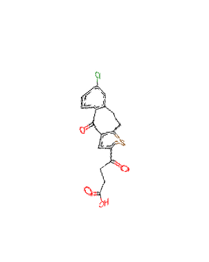 O=C(O)CCC(=O)c1cc2c(s1)CCc1cc(Cl)ccc1C2=O